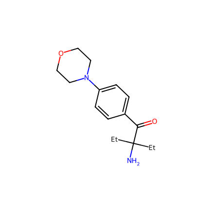 CCC(N)(CC)C(=O)c1ccc(N2CCOCC2)cc1